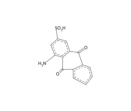 Nc1cc(S(=O)(=O)O)cc2c1C(=O)c1ccccc1C2=O